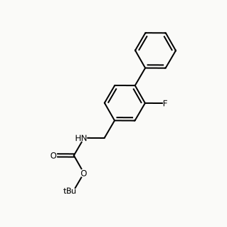 CC(C)(C)OC(=O)NCc1ccc(-c2ccccc2)c(F)c1